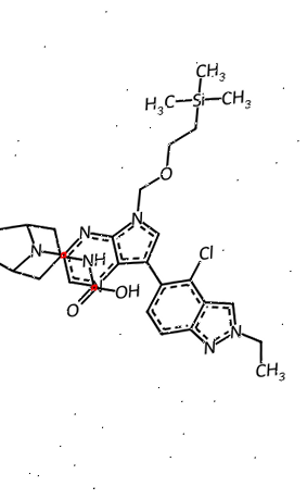 CCn1cc2c(Cl)c(-c3cn(COCC[Si](C)(C)C)c4nc(N5C6CCC5CC(NC(=O)O)C6)cnc34)ccc2n1